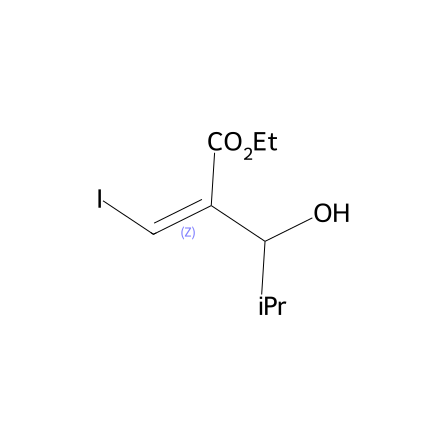 CCOC(=O)/C(=C\I)C(O)C(C)C